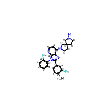 N#Cc1ccc(-c2nc3c(N4CCC5(CCNC5)C4)ccnc3n2-c2ccccc2F)cc1F